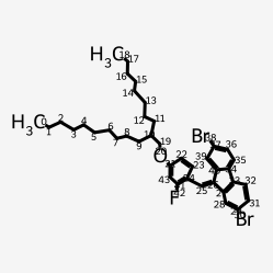 CCCCCCCCCCC(CCCCCCCC)COc1ccc(C=C2c3cc(Br)ccc3-c3ccc(Br)cc32)c(F)c1